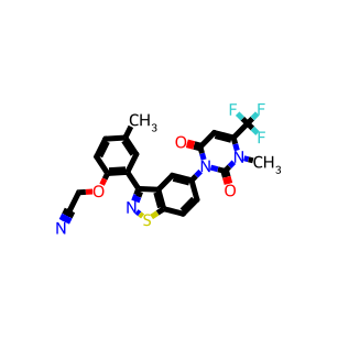 Cc1ccc(OCC#N)c(-c2nsc3ccc(-n4c(=O)cc(C(F)(F)F)n(C)c4=O)cc23)c1